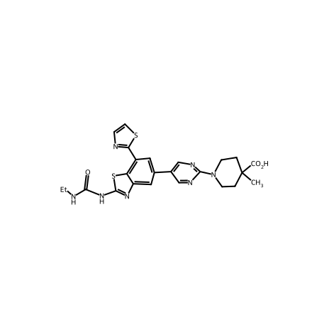 CCNC(=O)Nc1nc2cc(-c3cnc(N4CCC(C)(C(=O)O)CC4)nc3)cc(-c3nccs3)c2s1